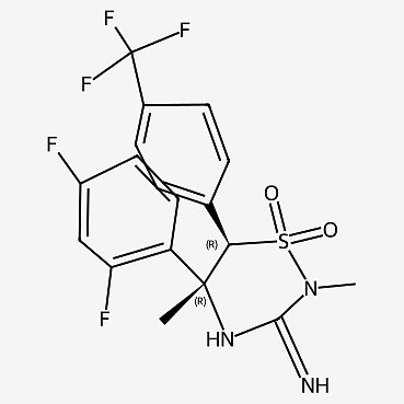 CN1C(=N)N[C@](C)(c2ccc(F)cc2F)[C@@H](c2ccc(C(F)(F)F)cc2)S1(=O)=O